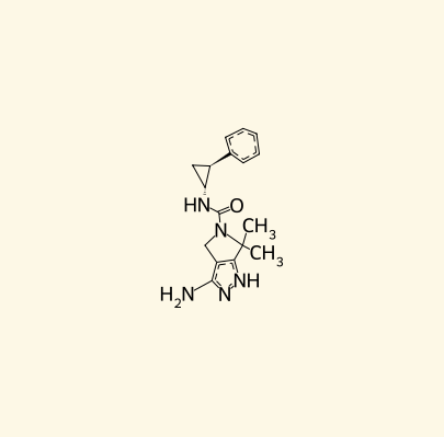 CC1(C)c2[nH]nc(N)c2CN1C(=O)N[C@@H]1C[C@H]1c1ccccc1